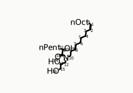 CCCCCCCC/C=C\CCCCCCCCN(CC(O)CO)C(=O)C(O)CCCCC